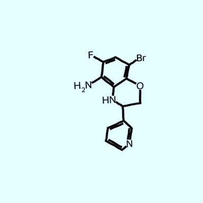 Nc1c(F)cc(Br)c2c1NC(c1cccnc1)CO2